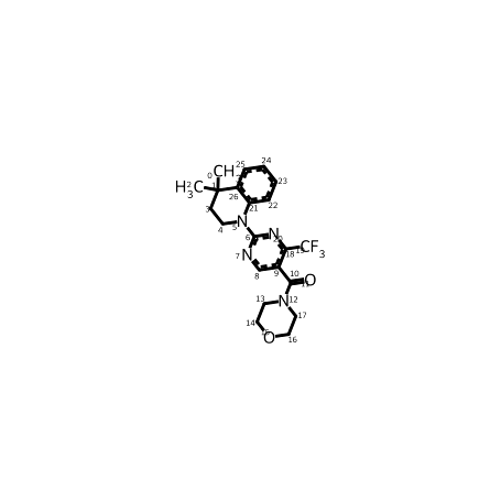 CC1(C)CCN(c2ncc(C(=O)N3CCOCC3)c(C(F)(F)F)n2)c2ccccc21